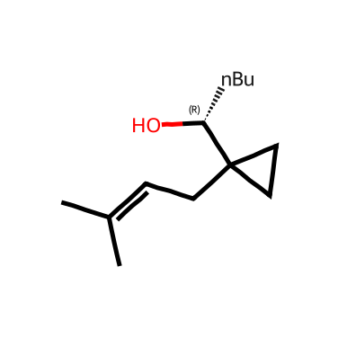 CCCC[C@@H](O)C1(CC=C(C)C)CC1